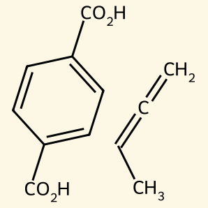 C=C=CC.O=C(O)c1ccc(C(=O)O)cc1